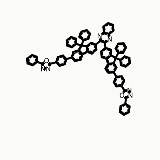 c1ccc(-c2nnc(-c3ccc(-c4ccc5c(c4)C(c4ccccc4)(c4ccccc4)c4cc(-c6nc7ccccc7nc6-c6ccc7c(c6)C(c6ccccc6)(c6ccccc6)c6cc(-c8ccc(-c9nnc(-c%10ccccc%10)o9)cc8)ccc6-7)ccc4-5)cc3)o2)cc1